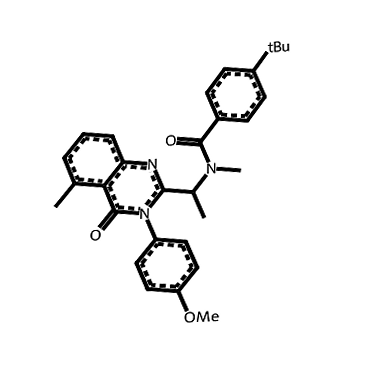 COc1ccc(-n2c(C(C)N(C)C(=O)c3ccc(C(C)(C)C)cc3)nc3cccc(C)c3c2=O)cc1